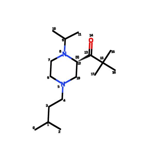 CC(C)CCN1CCN(C(C)C)[C@H](C(=O)C(C)(C)C)C1